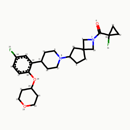 O=C(N1CC2(CCC(N3CCC(c4cc(F)ccc4OC4CCOCC4)CC3)C2)C1)C1(F)CC1